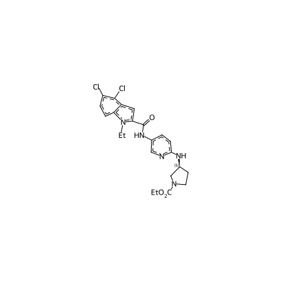 CCOC(=O)N1CC[C@H](Nc2ccc(NC(=O)c3cc4c(Cl)c(Cl)ccc4n3CC)cn2)C1